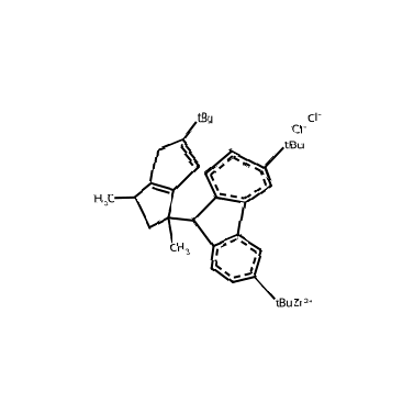 CC1CC(C)(C2c3ccc(C(C)(C)C)cc3-c3cc(C(C)(C)C)ccc32)C2=C1CC(C(C)(C)C)=C2.[Cl-].[Cl-].[Zr+2]